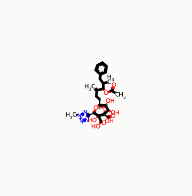 C=C(CC[C@]12O[C@H](c3nnn(C)n3)[C@@](O)(C(=O)O)[C@](C(=O)O)(O1)[C@H](O)[C@H]2O)C(OC(C)=O)C(C)Cc1ccccc1